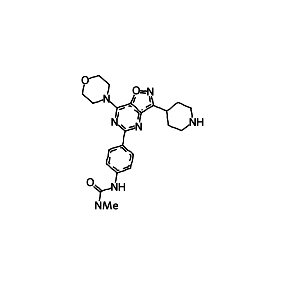 CNC(=O)Nc1ccc(-c2nc(N3CCOCC3)c3onc(C4CCNCC4)c3n2)cc1